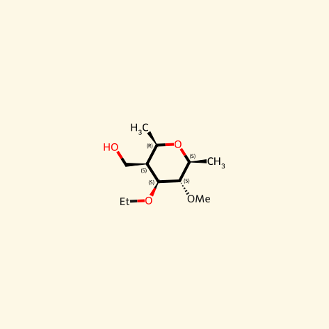 CCO[C@H]1[C@@H](CO)[C@@H](C)O[C@@H](C)[C@@H]1OC